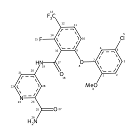 COc1ccc(Cl)cc1Oc1ccc(C(F)(F)F)c(F)c1C(=O)Nc1ccnc(C(N)=O)c1